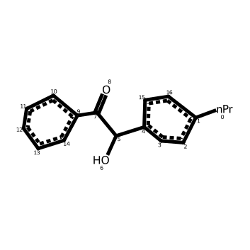 CCCc1ccc(C(O)C(=O)c2ccccc2)cc1